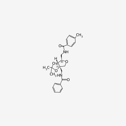 Cc1ccc(C(=O)NC[C@H]2OC[C@]3(CNC(=O)c4ccccc4)OC(C)(C)O[C@H]23)cc1